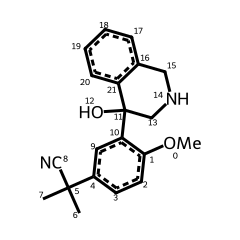 COc1ccc(C(C)(C)C#N)cc1C1(O)CNCc2ccccc21